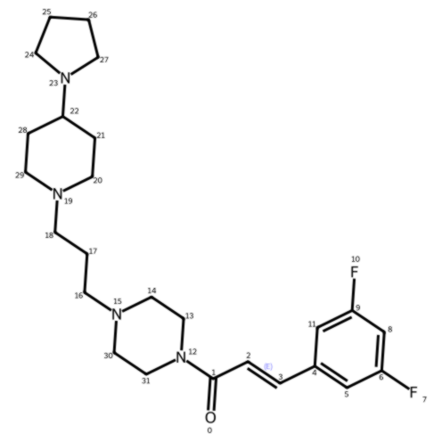 O=C(/C=C/c1cc(F)cc(F)c1)N1CCN(CCCN2CCC(N3CCCC3)CC2)CC1